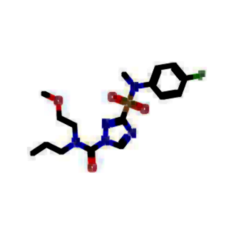 CCCN(CCOC)C(=O)n1cnc(S(=O)(=O)N(C)c2ccc(F)cc2)n1